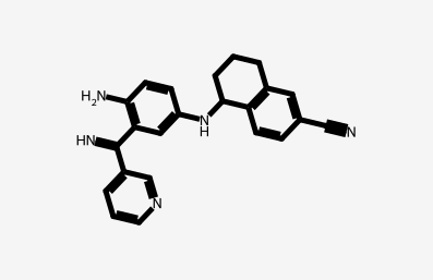 N#Cc1ccc2c(c1)CCCC2Nc1ccc(N)c(C(=N)c2cccnc2)c1